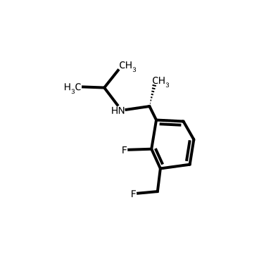 CC(C)N[C@H](C)c1cccc(CF)c1F